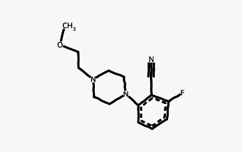 COCCN1CCN(c2cccc(F)c2C#N)CC1